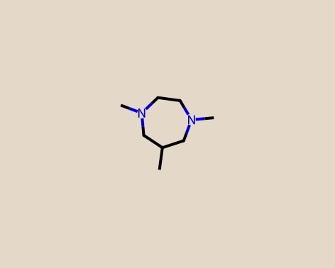 CC1CN(C)CCN(C)C1